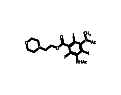 CC(=O)Nc1c(I)c(C(=O)OCCN2CCOCC2)c(I)c(N(C)C(C)=O)c1I